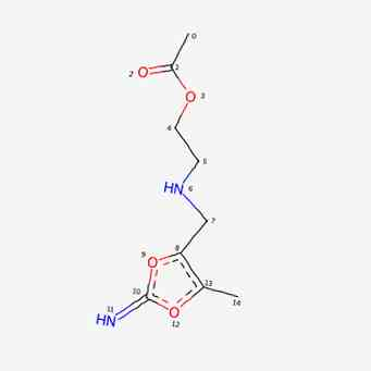 CC(=O)OCCNCc1oc(=N)oc1C